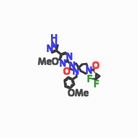 COc1cccc(CN2C(=O)N(c3ncc(-c4cn[nH]c4)c(OC)n3)CC23CCN(C(=O)[C@@H]2CC2(F)F)CC3)c1